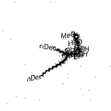 CCCCCCCCCCCCCCCCCCCCCCCCCCN[C@@H](CO[C@@H]1O[C@H](COC(=O)Nc2cccc(OC)c2)[C@H](O)[C@H](O)[C@H]1O)[C@H](O)[C@H](O)CCCCCCCCCCCCCC